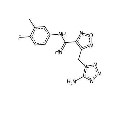 Cc1cc(NC(=N)c2nonc2Cn2nnnc2N)ccc1F